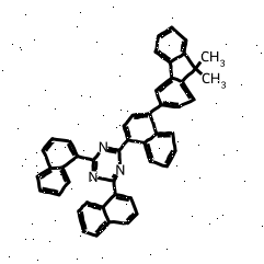 CC1(C)c2ccccc2-c2cc(-c3ccc(-c4nc(-c5cccc6ccccc56)nc(-c5cccc6ccccc56)n4)c4ccccc34)ccc21